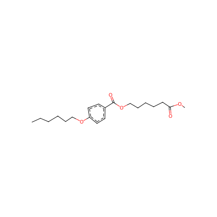 CCCCCCOc1ccc(C(=O)OCCCCCC(=O)OC)cc1